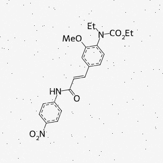 CCOC(=O)N(CC)c1ccc(C=CC(=O)Nc2ccc([N+](=O)[O-])cc2)cc1OC